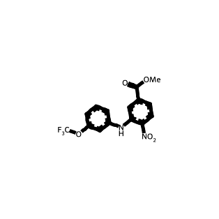 COC(=O)c1ccc([N+](=O)[O-])c(Nc2cccc(OC(F)(F)F)c2)c1